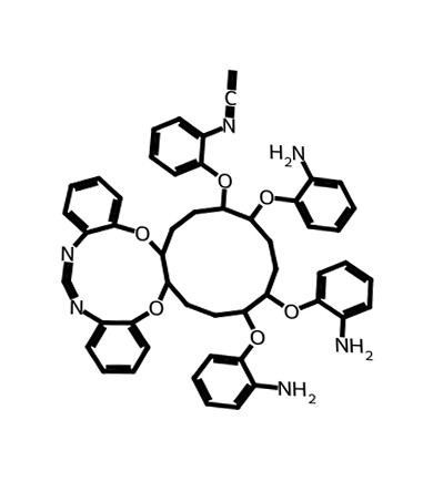 C=C=Nc1ccccc1OC1CCC2Oc3ccccc3N=C=Nc3ccccc3OC2CCC(Oc2ccccc2N)C(Oc2ccccc2N)CCC1Oc1ccccc1N